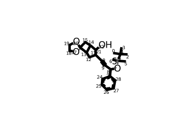 CC(C)(C)[Si](C)(C)OC(C#CC1CC2C(CC23OCCO3)C1O)c1ccccc1